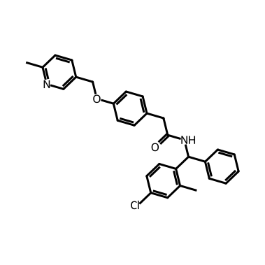 Cc1ccc(COc2ccc(CC(=O)NC(c3ccccc3)c3ccc(Cl)cc3C)cc2)cn1